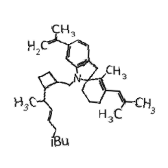 C=C(C)c1ccc2c(c1)N(CC1CCC1C(C)/C=C/CC(C)CC)C1(CCCC(C=C(C)C)=C1C)C2